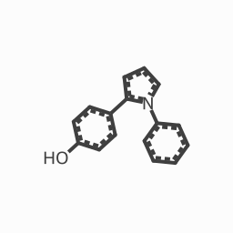 Oc1ccc(-c2cccn2-c2ccccc2)cc1